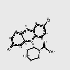 O=C(O)N1CCNCC1.O=c1ccc2nc3cc(Cl)ccc3oc-2c1